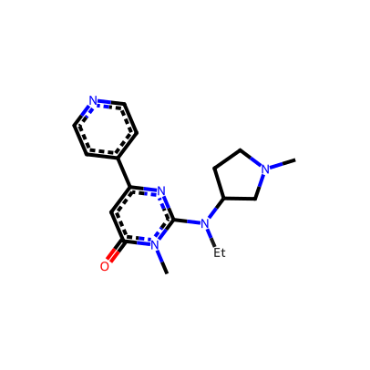 CCN(c1nc(-c2ccncc2)cc(=O)n1C)C1CCN(C)C1